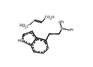 CCCN(CCC)CCc1cccc2[nH]ccc12.O=C(O)/C=C/C(=O)O